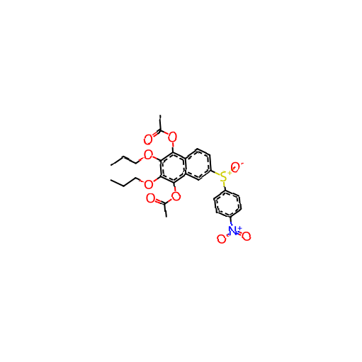 CCCOc1c(OCCC)c(OC(C)=O)c2cc([S+]([O-])c3ccc([N+](=O)[O-])cc3)ccc2c1OC(C)=O